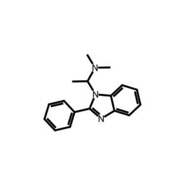 CC(N(C)C)n1c(-c2ccccc2)nc2ccccc21